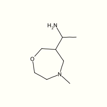 CC(N)C1COCCN(C)C1